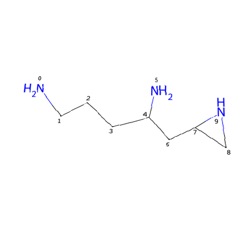 NCCCC(N)CC1CN1